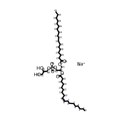 CCCCCCCC/C=C\CCCCCCCC(=O)O[C@H](COC(=O)CCCCCCCCCCCCCCCCC)COP(=O)([O-])OCC(O)CO.[Na+]